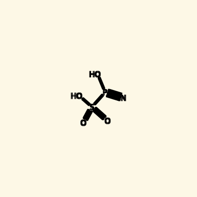 N#P(O)S(=O)(=O)O